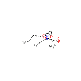 CCCCCCCC/C=C\CCCCCCCC(=O)[O-].CCCCCCCC/C=C\CCCCCCCC(=O)[O-].O=C1C=CCC2=CC=CNC12.[Mg+2]